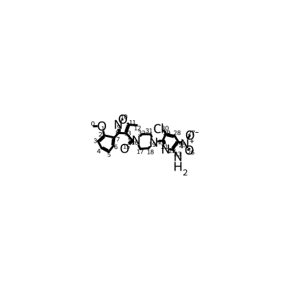 COc1ccccc1-c1noc(C)c1C(=O)N1CCN(c2nc(N)c([N+](=O)[O-])cc2Cl)CC1